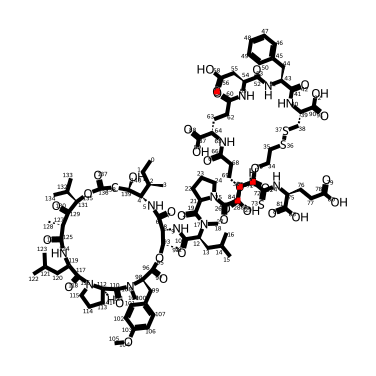 CC[C@@H](C)[C@@H]1NC(=O)[C@H](NC(=O)[C@H](CC(C)C)N(C)C(=O)C2CCCN2C(=O)[C@@H](C)OC(=O)OCCSSC[C@H](NC(=O)[C@H](Cc2ccccc2)NC(=O)[C@H](CC(=O)O)NC(=O)CC[C@H](NC(=O)CC[C@H](NC(=S)N[C@@H](CCC(=O)O)C(=O)O)C(=O)O)C(=O)O)C(=O)O)[C@H](C)OC(=O)[C@@H](Cc2ccc(OC)cc2)N(C)C(=O)[C@H]2CCCN2C(=O)C(CC(C)C)NC(=O)[C@H](C)C(=O)[C@@H](C(C)C)OC(=O)C[C@H]1O